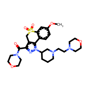 COc1ccc2c(c1)S(=O)(=O)Cc1c(C(=O)N3CCOCC3)nn(C3CCCN(CCN4CCOCC4)C3)c1-2